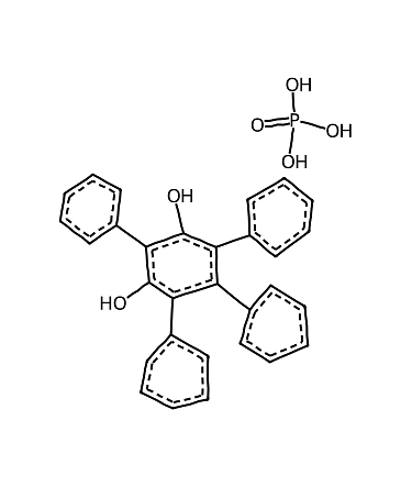 O=P(O)(O)O.Oc1c(-c2ccccc2)c(O)c(-c2ccccc2)c(-c2ccccc2)c1-c1ccccc1